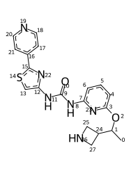 CC(Oc1cccc(NC(=O)Nc2csc(-c3ccncc3)n2)n1)C1CNC1